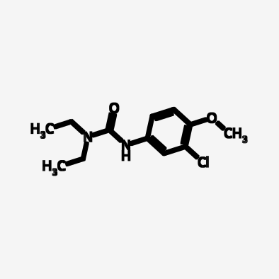 CCN(CC)C(=O)Nc1ccc(OC)c(Cl)c1